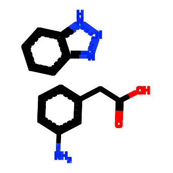 Nc1cccc(CC(=O)O)c1.c1ccc2[nH]nnc2c1